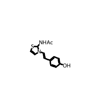 CC(=O)NC1SC=CN1C=Cc1ccc(O)cc1